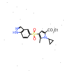 CCOC(=O)c1cc(S(=O)(=O)c2ccc3[nH]ncc3c2)c(C)n1C1CC1